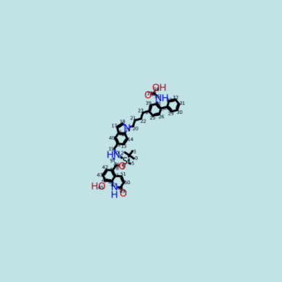 CC(C)(C)[Si](C)(C)O[C@@H](CNCc1ccc2c(ccn2CCCCc2ccc(-c3ccccc3)c(NC(=O)O)c2)c1)c1ccc(O)c2[nH]c(=O)ccc12